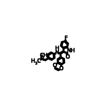 CN(C)Cc1ccc(NC(=C2C(=O)Nc3cc(F)ccc32)c2ccc3c(c2)OC=CO3)cc1